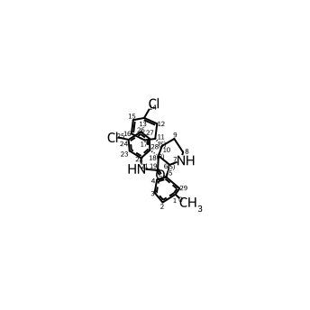 Cc1cccc([C@@H]2NCC[C@@H](C3C=C(Cl)C=CC3)[C@]23C(=O)Nc2cc(Cl)ccc23)c1